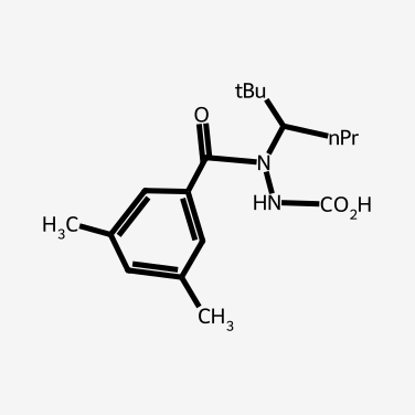 CCCC(N(NC(=O)O)C(=O)c1cc(C)cc(C)c1)C(C)(C)C